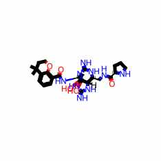 CC1(C)CCOc2c(C(=O)N[C@H]3CN4C(=N)N[C@@H](CNC(=O)[C@H]5CCCN5)[C@@H]5NC(=N)N[C@@]54C3(O)O)cccc21